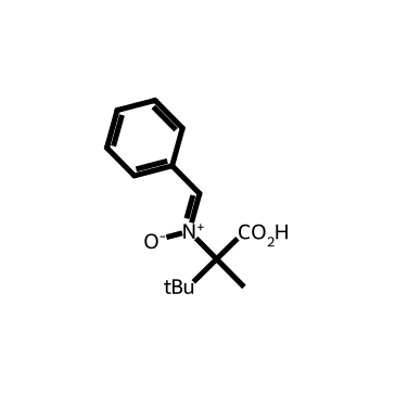 CC(C)(C)C(C)(C(=O)O)[N+]([O-])=Cc1ccccc1